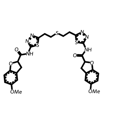 COc1ccc2c(c1)CC(C(=O)Nc1nnc(CCSCCc3nnc(NC(=O)C4Cc5cc(OC)ccc5O4)s3)s1)O2